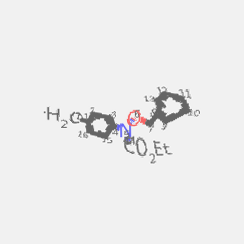 [CH2]c1ccc(N(OCc2ccccc2)C(=O)OCC)cc1